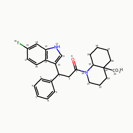 O=C(CC(c1ccccc1)c1c[nH]c2cc(F)ccc12)N1CCCC2(C(=O)O)CCCCC12